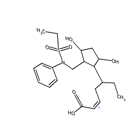 CCC(C/C=C\C(=O)O)C1C(O)CC(O)C1CN(c1ccccc1)S(=O)(=O)CC